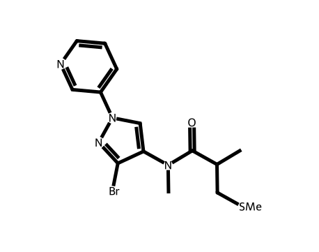 CSCC(C)C(=O)N(C)c1cn(-c2cccnc2)nc1Br